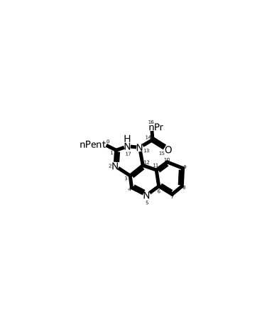 CCCCCC1=Nc2cnc3ccccc3c2N(C(=O)CCC)N1